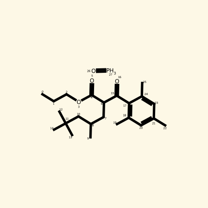 CCCOC(=O)C(CC(C)CC(C)(C)C)C(=O)c1c(C)cc(C)cc1C.O=[PH3]